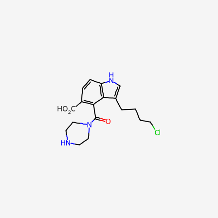 O=C(O)c1ccc2[nH]cc(CCCCCl)c2c1C(=O)N1CCNCC1